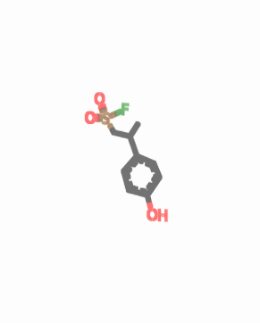 CC(CS(=O)(=O)F)c1ccc(O)cc1